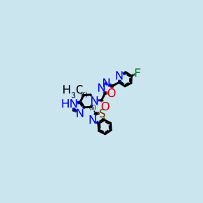 C[C@H]1CN(C(=O)c2nnc(-c3ccc(F)cn3)o2)[C@H](c2nc3ccccc3s2)c2nc[nH]c21